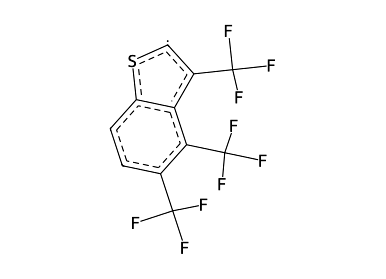 FC(F)(F)c1ccc2s[c]c(C(F)(F)F)c2c1C(F)(F)F